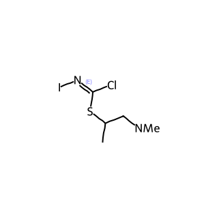 CNCC(C)S/C(Cl)=N\I